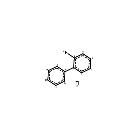 Fc1ccccc1-c1ccccc1.[Ti]